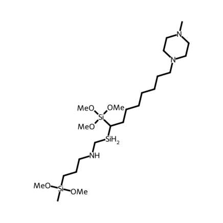 CO[Si](C)(CCCNC[SiH2]C(CCCCCCCN1CCN(C)CC1)[Si](OC)(OC)OC)OC